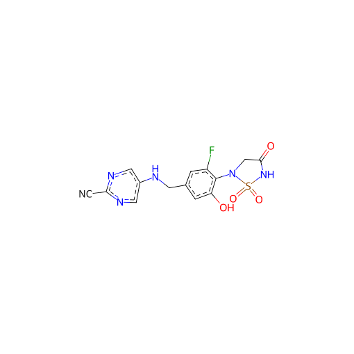 N#Cc1ncc(NCc2cc(O)c(N3CC(=O)NS3(=O)=O)c(F)c2)cn1